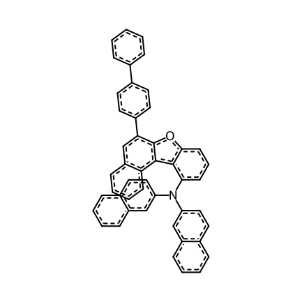 c1ccc(-c2ccc(-c3cc4ccccc4c4c3oc3cccc(N(c5ccc6ccccc6c5)c5ccc6ccccc6c5)c34)cc2)cc1